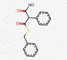 O=NC(=O)C(C(=O)SCc1ccccc1)c1ccccc1